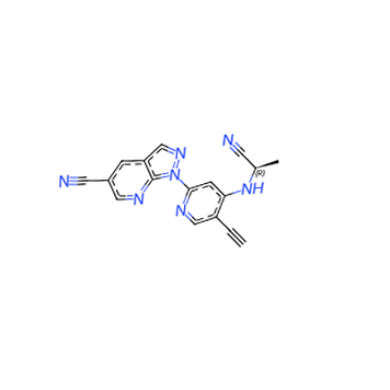 C#Cc1cnc(-n2ncc3cc(C#N)cnc32)cc1N[C@H](C)C#N